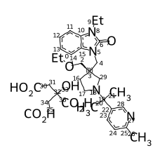 CCOC[C@]1(Cn2c(=O)n(CC)c3ccccc32)CCN(C(C)(C)c2ccc(C)nc2)C1.O=C(O)CC(O)(CC(=O)O)C(=O)O